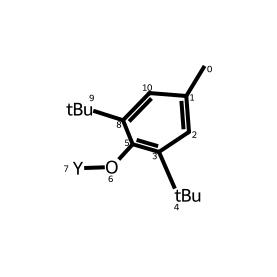 Cc1cc(C(C)(C)C)c([O][Y])c(C(C)(C)C)c1